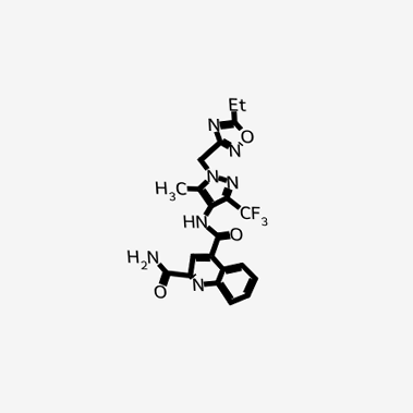 CCc1nc(Cn2nc(C(F)(F)F)c(NC(=O)c3cc(C(N)=O)nc4ccccc34)c2C)no1